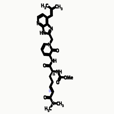 COC(=O)N[C@@H](CC/C=C/C(=O)N(C)C)C(=O)Nc1cccn(Cc2nc3c(C=C(C)C)ccnc3[nH]2)c1=O